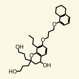 CCCc1c(OCCCOc2cccc3c2CCCC3)ccc2c1OC(CCCO)(CCCO)CC2O